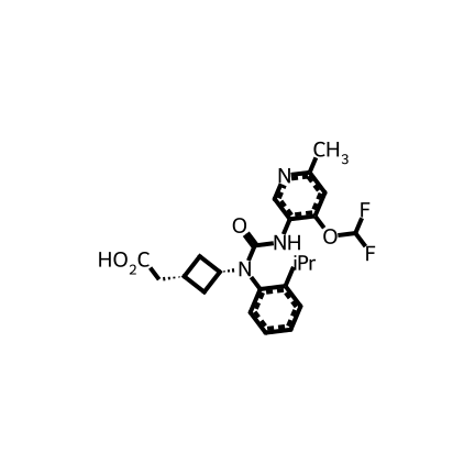 Cc1cc(OC(F)F)c(NC(=O)N(c2ccccc2C(C)C)[C@H]2C[C@@H](CC(=O)O)C2)cn1